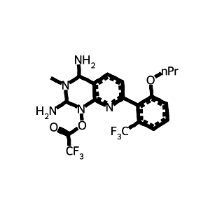 CCCOc1cccc(C(F)(F)F)c1-c1ccc2c(n1)N(OC(=O)C(F)(F)F)C(N)N(C)C2N